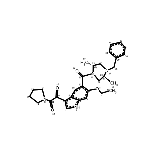 CCOc1cc2[nH]cc(C(=O)C(=O)N3CCCC3)c2cc1C(=O)N1C[C@H](C)N(Cc2ccccc2)C[C@H]1C